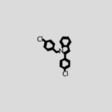 Clc1ccc(Cn2c(-c3ccc(Cl)cc3)cc3ccccc32)cc1